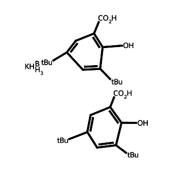 B.CC(C)(C)c1cc(C(=O)O)c(O)c(C(C)(C)C)c1.CC(C)(C)c1cc(C(=O)O)c(O)c(C(C)(C)C)c1.[KH]